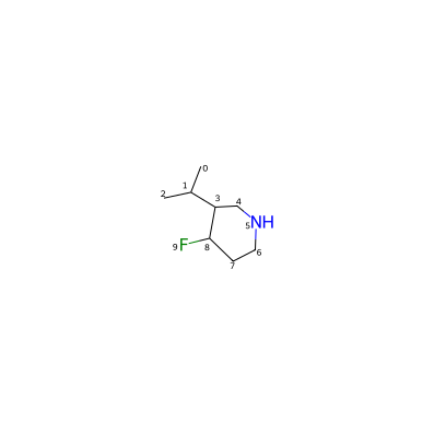 CC(C)C1CNCCC1F